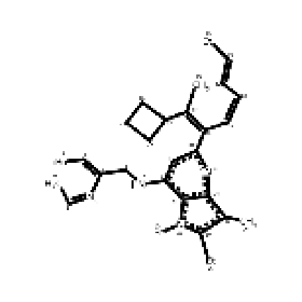 C/C=N\C(=C/C(C)CC)CNc1cc(C(/C=C\C=C\CC)=C(/C)C2CCC2)nc2c(C)c(CC)n(C(C)C)c12